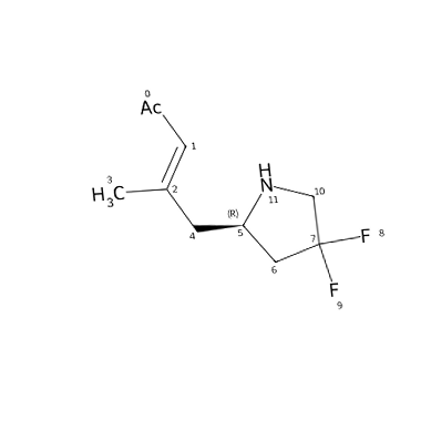 CC(=O)C=C(C)C[C@@H]1CC(F)(F)CN1